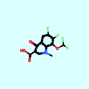 Cn1cc(C(=O)O)c(=O)c2cc(F)c(F)c(OC(F)F)c21